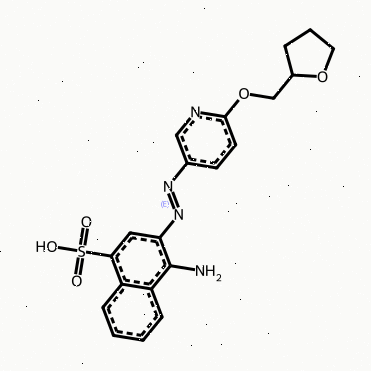 Nc1c(/N=N/c2ccc(OCC3CCCO3)nc2)cc(S(=O)(=O)O)c2ccccc12